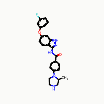 CC1CNCCN1c1ccc(C(=O)Nc2n[nH]c3cc(Oc4cccc(F)c4)ccc23)cc1